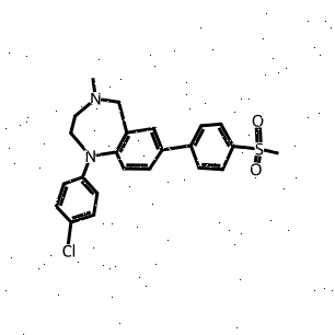 CN1CCN(c2ccc(Cl)cc2)c2ccc(-c3ccc(S(C)(=O)=O)cc3)cc2C1